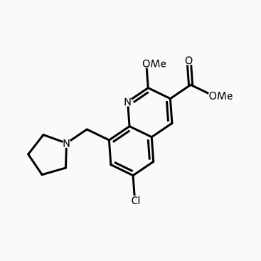 COC(=O)c1cc2cc(Cl)cc(CN3CCCC3)c2nc1OC